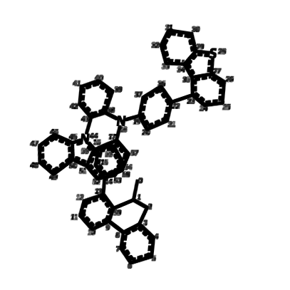 CC1Cc2ccccc2-c2cccc(-c3ccc(N(c4ccc(-c5cccc6sc7ccccc7c56)cc4)c4ccccc4-n4c5ccccc5c5ccccc54)cc3)c21